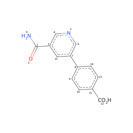 NC(=O)c1cncc(-c2ccc(C(=O)O)cc2)c1